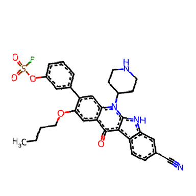 CCCCOc1cc2c(=O)c3c4ccc(C#N)cc4[nH]c3n(C3CCNCC3)c2cc1-c1cccc(OS(=O)(=O)F)c1